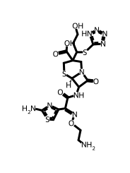 NCCON=C(C(=O)NC1C(=O)N2CC(C(=O)O)(C(CCO)Sc3nnn[nH]3)CS[C@H]12)c1csc(N)n1